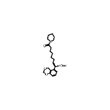 CCCCCCCCCCC(=CCCCCCC(=O)N1CCCCC1)c1cccc2c1COCO2